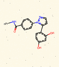 CCCNC(=O)c1ccc(-n2nccc2-c2ccc(O)cc2O)cc1